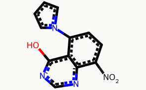 O=[N+]([O-])c1ccc(-n2cccc2)c2c(O)ncnc12